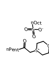 CCCCCC(=O)C[S+]1CCOCC1.CCCCCCCCS(=O)(=O)[O-]